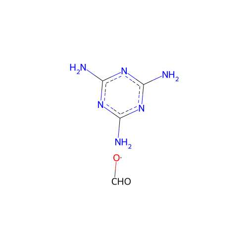 Nc1nc(N)nc(N)n1.[O]C=O